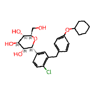 OC[C@H]1O[C@H](c2ccc(Cl)c(Cc3ccc(OC4CCCCC4)cc3)c2)[C@H](O)[C@@H](O)[C@@H]1O